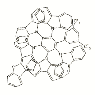 FC(F)(F)c1cc(-c2c(-n3c4ccccc4c4ccccc43)c(-n3c4ccccc4c4ccccc43)c(-n3c4ccccc4c4c5oc6ccccc6c5ccc43)c(-n3c4ccccc4c4ccccc43)c2-n2c3ccccc3c3ccccc32)cc(C(F)(F)F)c1